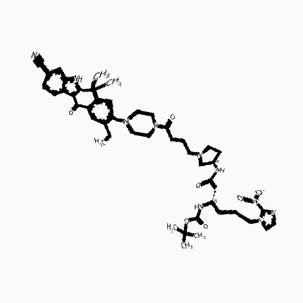 CCc1cc2c(cc1N1CCN(C(=O)CCCN3CC[C@@H](NC(=O)C[C@H](CCCn4ccnc4[N+](=O)[O-])NC(=O)OC(C)(C)C)C3)CC1)C(C)(C)c1[nH]c3cc(C#N)ccc3c1C2=O